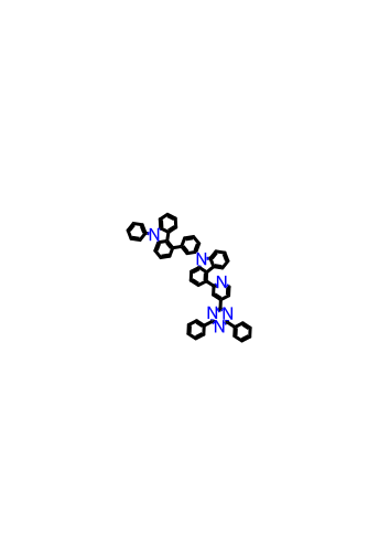 c1ccc(-c2nc(-c3ccccc3)nc(-c3ccnc(-c4cccc5c4c4ccccc4n5-c4cccc(-c5cccc6c5c5ccccc5n6-c5ccccc5)c4)c3)n2)cc1